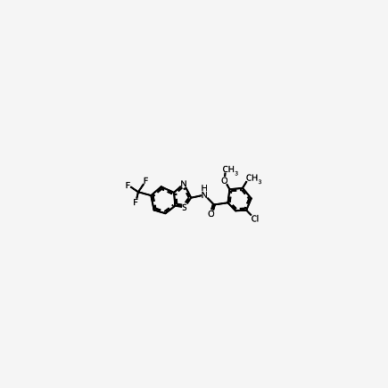 COc1c(C)cc(Cl)cc1C(=O)Nc1nc2cc(C(F)(F)F)ccc2s1